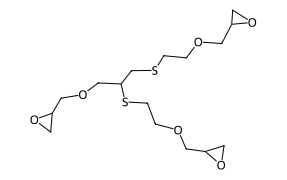 C(CSCC(COCC1CO1)SCCOCC1CO1)OCC1CO1